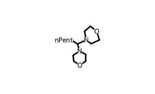 CCCCCC(N1CCOCC1)N1CCOCC1